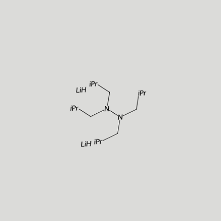 CC(C)CN(CC(C)C)N(CC(C)C)CC(C)C.[LiH].[LiH]